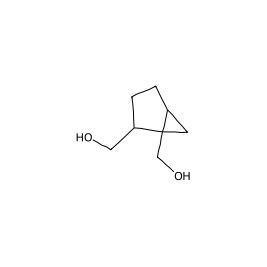 OCC1CCC2CC12CO